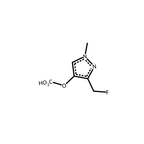 Cn1cc(OC(=O)O)c(CF)n1